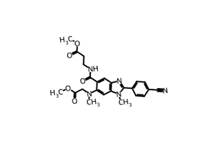 COC(=O)CCNC(=O)c1cc2nc(-c3ccc(C#N)cc3)n(C)c2cc1N(C)CC(=O)OC